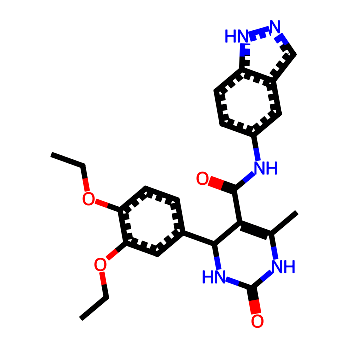 CCOc1ccc(C2NC(=O)NC(C)=C2C(=O)Nc2ccc3[nH]ncc3c2)cc1OCC